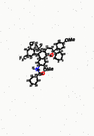 COc1ccc(C2(c3ccccc3)C=Cc3c4c(c5cc(N(C)C(=O)c6ccccc6)c(OC)cc5c3O2)-c2cc(C(F)(F)F)cc(C(F)(F)F)c2C4(C)C)cc1